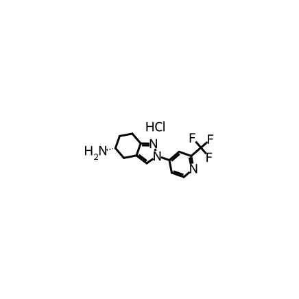 Cl.N[C@@H]1CCc2nn(-c3ccnc(C(F)(F)F)c3)cc2C1